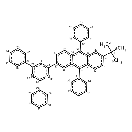 CC(C)(C)c1ccc2c(-c3ccccc3)c3cc(-c4cc(-c5ccccc5)nc(-c5ccccc5)n4)ccc3c(-c3ccccc3)c2c1